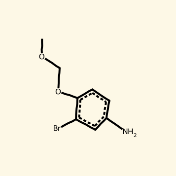 COCOc1ccc(N)cc1Br